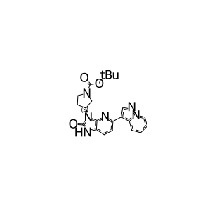 CC(C)(C)OC(=O)N1CC[C@H](n2c(=O)[nH]c3ccc(-c4cnn5ccccc45)nc32)C1